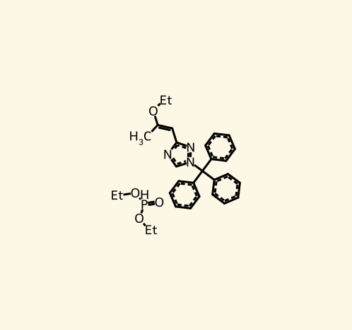 CCO/C(C)=C/c1ncn(C(c2ccccc2)(c2ccccc2)c2ccccc2)n1.CCO[PH](=O)OCC